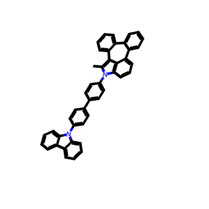 Cc1c2c3c(cccc3n1-c1ccc(-c3ccc(-n4c5ccccc5c5ccccc54)cc3)cc1)-c1ccccc1-c1ccccc1-2